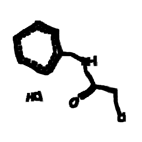 Cl.O=C(CCl)Nc1ccccc1